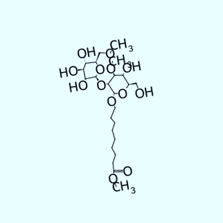 COC[C@H]1O[C@@H](O[C@H]2[C@@H](OCCCCCCCCC(=O)OC)O[C@H](CO)[C@@H](O)[C@@H]2OC)[C@H](O)[C@@H](O)[C@@H]1O